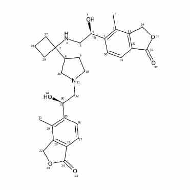 Cc1c([C@H](O)CNC2(C3CCN(C[C@H](O)c4ccc5c(c4C)COC5=O)C3)CCC2)ccc2c1COC2=O